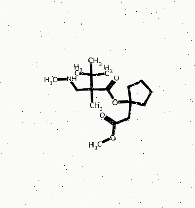 CNCC(C)(C(=O)OC1(CC(=O)OC)CCCC1)C(C)(C)C